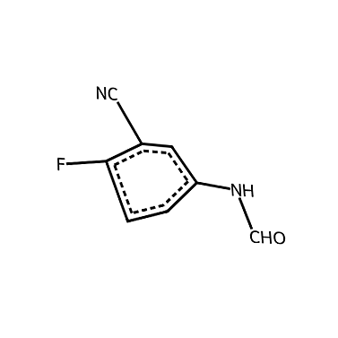 N#Cc1cc(NC=O)ccc1F